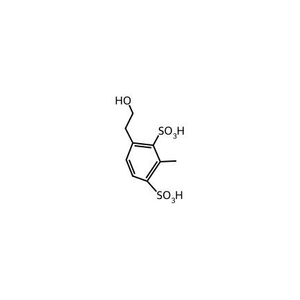 Cc1c(S(=O)(=O)O)ccc(CCO)c1S(=O)(=O)O